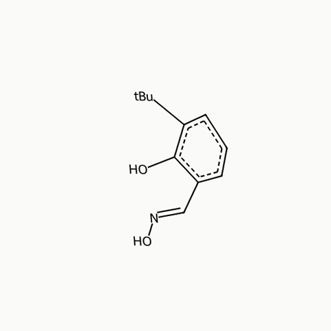 CC(C)(C)c1cccc(C=NO)c1O